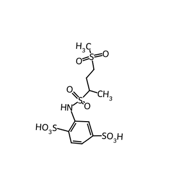 CC(CCS(C)(=O)=O)S(=O)(=O)Nc1cc(S(=O)(=O)O)ccc1S(=O)(=O)O